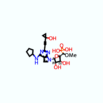 COC([C@@H]1O[C@@H](n2ccc3c(NC4CCCC4)nc(C#CC4(O)CC4)nc32)[C@H](O)[C@@H]1O)P(=O)(O)O